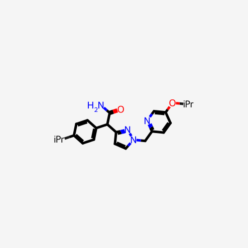 CC(C)Oc1ccc(Cn2ccc(C(C(N)=O)c3ccc(C(C)C)cc3)n2)nc1